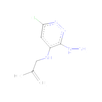 C=C(C)CNc1cc(Cl)nnc1NN